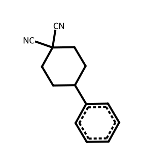 N#CC1(C#N)CCC(c2ccccc2)CC1